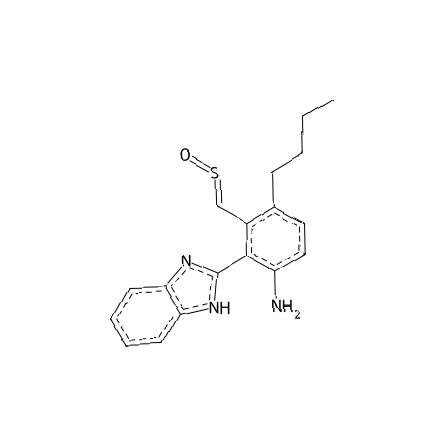 CCCCc1ccc(N)c(-c2nc3ccccc3[nH]2)c1C=S=O